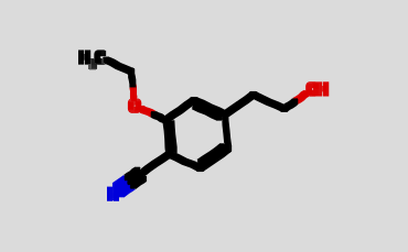 CCOc1cc(CCO)ccc1C#N